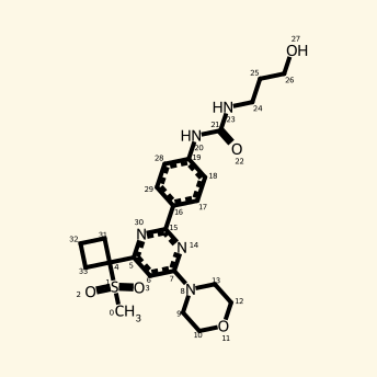 CS(=O)(=O)C1(c2cc(N3CCOCC3)nc(-c3ccc(NC(=O)NCCCO)cc3)n2)CCC1